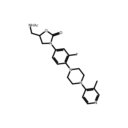 CC(=O)NCC1CN(c2ccc(N3CCN(c4ccncc4C)CC3)c(F)c2)C(=O)O1